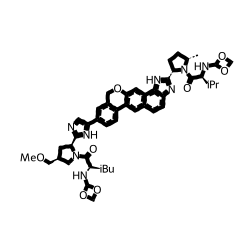 CC[C@H](C)[C@H](NC1OCO1)C(=O)N1C[C@@H](COC)C[C@H]1c1ncc(-c2ccc3c(c2)COc2cc4c(ccc5nc([C@@H]6CC[C@H](C)N6C(=O)[C@@H](NC6OCO6)C(C)C)[nH]c54)cc2-3)[nH]1